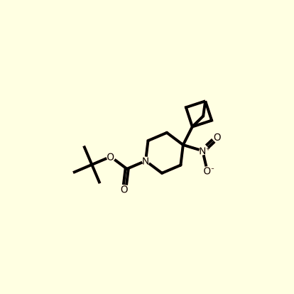 CC(C)(C)OC(=O)N1CCC([N+](=O)[O-])(C23CC(C2)C3)CC1